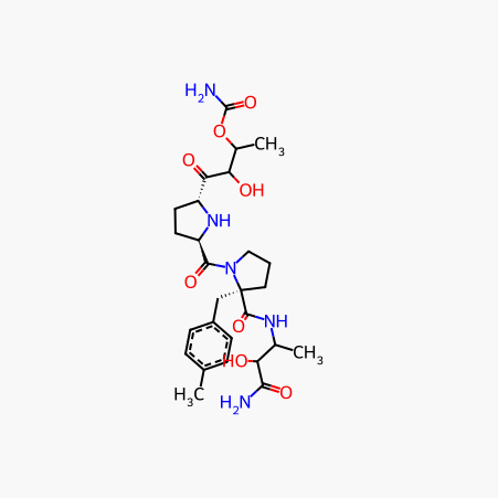 Cc1ccc(C[C@@]2(C(=O)NC(C)C(O)C(N)=O)CCCN2C(=O)[C@H]2CC[C@H](C(=O)C(O)C(C)OC(N)=O)N2)cc1